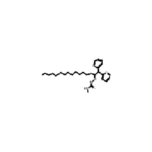 CCCCCCCCCCCCCCC(=NNC(=S)NC)C(c1ccccn1)c1ccccn1